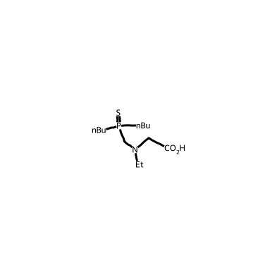 CCCCP(=S)(CCCC)CN(CC)CC(=O)O